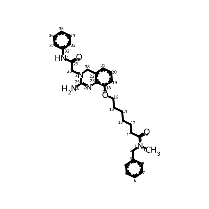 CN(Cc1ccccc1)C(=O)CCCCCCOc1cccc2c1N=C(N)N(CC(=O)Nc1ccccc1)C2